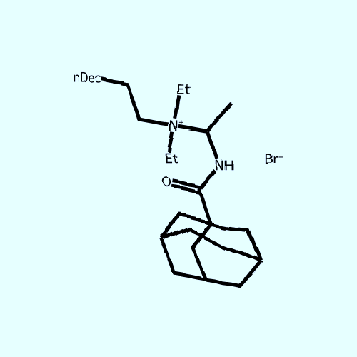 CCCCCCCCCCCC[N+](CC)(CC)C(C)NC(=O)C12CC3CC(CC(C3)C1)C2.[Br-]